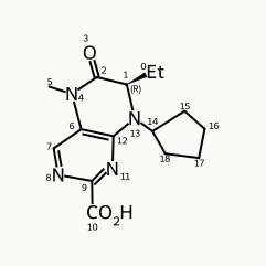 CC[C@@H]1C(=O)N(C)c2cnc(C(=O)O)nc2N1C1CCCC1